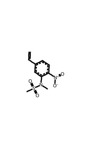 C=Cc1ccc([N+](=O)[O-])c(N(C)S(C)(=O)=O)c1